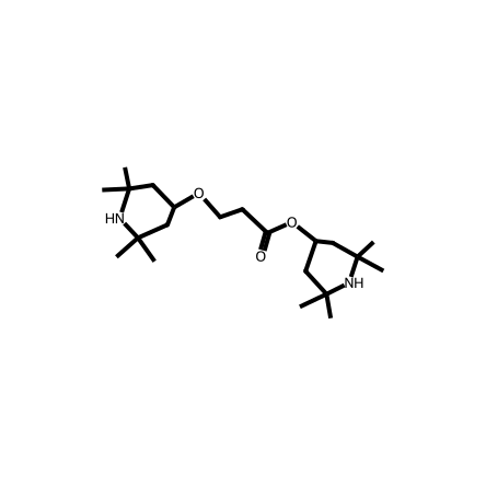 CC1(C)CC(OCCC(=O)OC2CC(C)(C)NC(C)(C)C2)CC(C)(C)N1